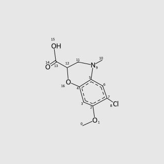 COc1cc2c(cc1Cl)N(C)CC(C(=O)O)O2